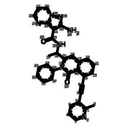 Cc1ncccc1C#Cc1cccc2cc(C(C)NC(=O)c3c(N)nn4cccnc34)n(-c3ccccc3)c(=O)c12